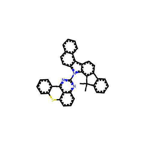 CC1(C)c2ccccc2-c2ccc3c4c5ccccc5ccc4n(-c4nc5c6c(cccc6n4)Sc4ccccc4-5)c3c21